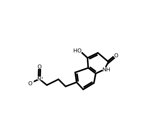 O=c1cc(O)c2cc(CCC[N+](=O)[O-])ccc2[nH]1